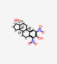 C[C@]12CC[C@@H]3c4cc([N+](=O)[O-])c(O)c([N+](=O)[O-])c4CC[C@H]3[C@@H]1CC[C@@H]2O